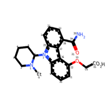 CCN1CCCCC1n1c2cccc(OCC(=O)O)c2c2c(C(N)=O)cccc21